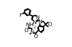 CN(CC(N)=O)C(=O)c1ccc2c(c1)N(c1ncc(-c3cccc(F)c3)cn1)CC21COC1